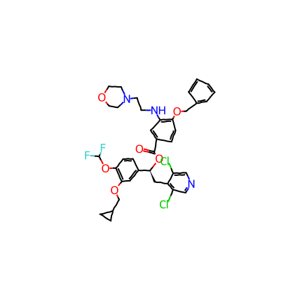 O=C(O[C@@H](Cc1c(Cl)cncc1Cl)c1ccc(OC(F)F)c(OCC2CC2)c1)c1ccc(OCc2ccccc2)c(NCCN2CCOCC2)c1